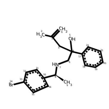 C=C(C)CC(O)(CN[C@@H](C)c1ccc(Br)cc1)c1ccccc1